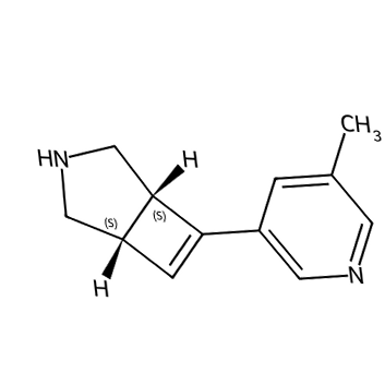 Cc1cncc(C2=C[C@@H]3CNC[C@H]23)c1